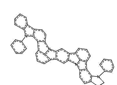 c1ccc(N2CCc3ccc4c(c32)c2cccc3c5cc6c(cc5n4c32)c2cccc3c4c5c(ccc4n6c23)c2ccccc2n5-c2ccccc2)cc1